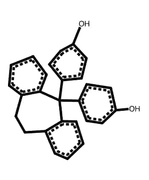 Oc1ccc(C2(c3ccc(O)cc3)c3ccccc3CCc3ccccc32)cc1